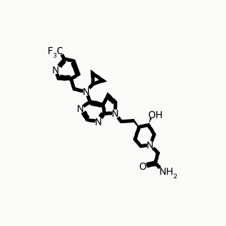 NC(=O)CN1CC[C@@H](CCn2ccc3c(N(Cc4ccc(C(F)(F)F)nc4)C4CC4)ncnc32)[C@H](O)C1